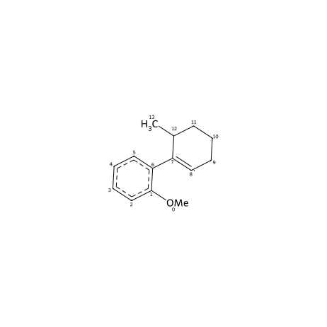 COc1ccccc1C1=[C]CCCC1C